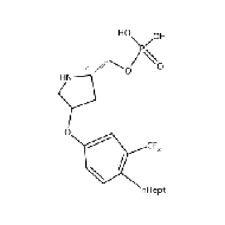 CCCCCCCc1ccc(OC2CN[C@H](COP(=O)(O)O)C2)cc1C(F)(F)F